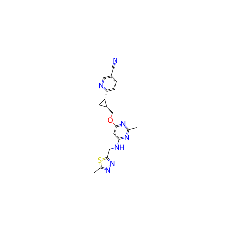 Cc1nc(NCc2nnc(C)s2)cc(OC[C@H]2C[C@@H]2c2ccc(C#N)cn2)n1